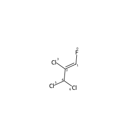 F/C=C(\Cl)C(Cl)Cl